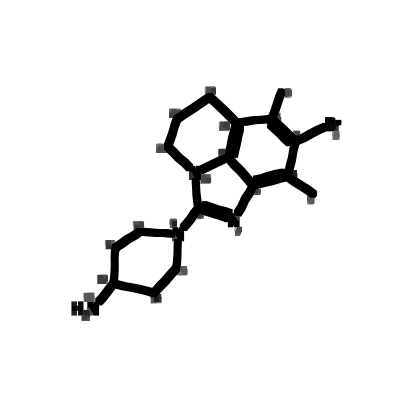 Cc1c(Br)c(C)c2nc(N3CCC(N)CC3)n3c2c1CCC3